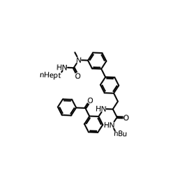 CCCCCCCNC(=O)N(C)c1cccc(-c2ccc(CC(Nc3ccccc3C(=O)c3ccccc3)C(=O)NCCCC)cc2)c1